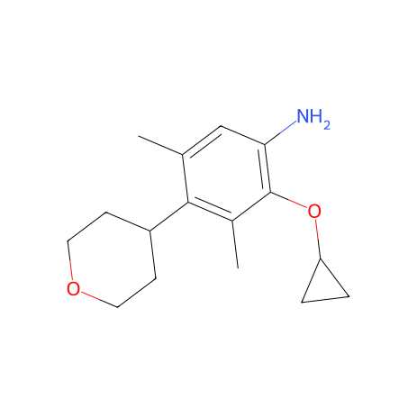 Cc1cc(N)c(OC2CC2)c(C)c1C1CCOCC1